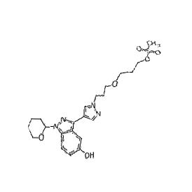 CS(=O)(=O)OCCCOCCCn1cc(-c2nn(C3CCCCO3)c3ccc(O)cc23)cn1